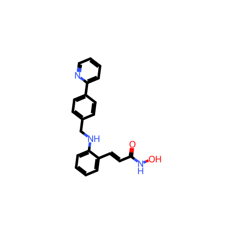 O=C(C=Cc1ccccc1NCc1ccc(-c2ccccn2)cc1)NO